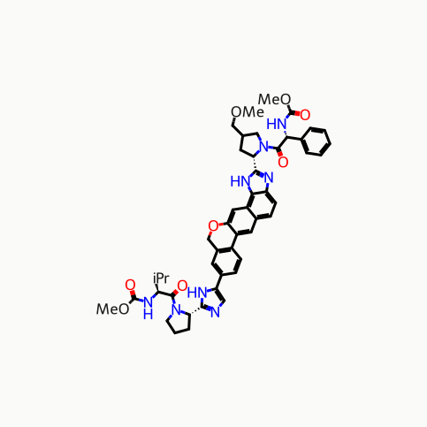 COCC1C[C@@H](c2nc3ccc4cc5c(cc4c3[nH]2)OCc2cc(-c3cnc([C@@H]4CCCN4C(=O)[C@@H](NC(=O)OC)C(C)C)[nH]3)ccc2-5)N(C(=O)[C@H](NC(=O)OC)c2ccccc2)C1